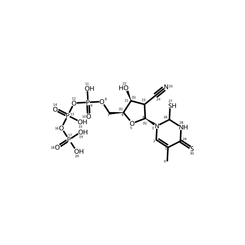 CC1=CN([C@H]2O[C@@H](COP(=O)(O)OP(=O)(O)OP(=O)(O)O)[C@@H](O)C2C#N)C(S)NC1=S